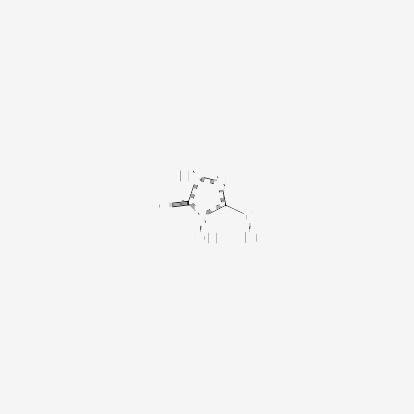 CCOc1n[nH]c(=O)n1O